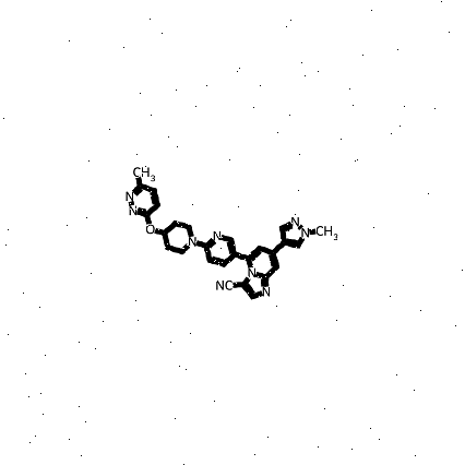 Cc1ccc(OC2CCN(c3ccc(-c4cc(-c5cnn(C)c5)cc5ncc(C#N)n45)cn3)CC2)nn1